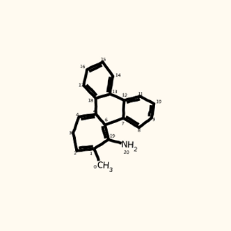 CC1=CCC=c2c(c3ccccc3c3ccccc23)=C1N